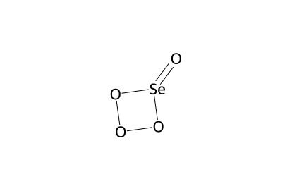 O=[Se]1OOO1